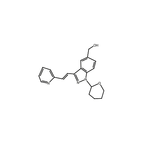 OCc1ccc2c(c1)c(/C=C/c1ccccn1)nn2C1CCCCO1